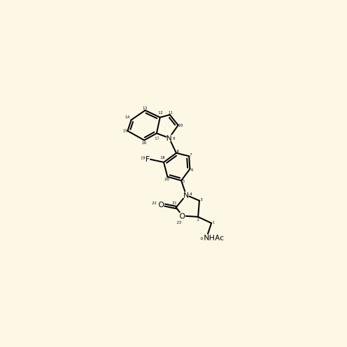 CC(=O)NCC1CN(c2ccc(-n3ccc4ccccc43)c(F)c2)C(=O)O1